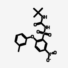 Cc1cccc(Oc2ccc([N+](=O)[O-])cc2S(=O)(=O)NC(=O)NC(C)(C)C)c1